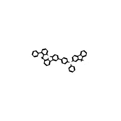 CC1(C)c2ccccc2-c2ccc(N(c3ccccc3)c3ccc(-c4ccc5c(c4)c4cccc6c4n5-c4cccc(-c5ccccc5)c4C6(C)C)cc3)cc21